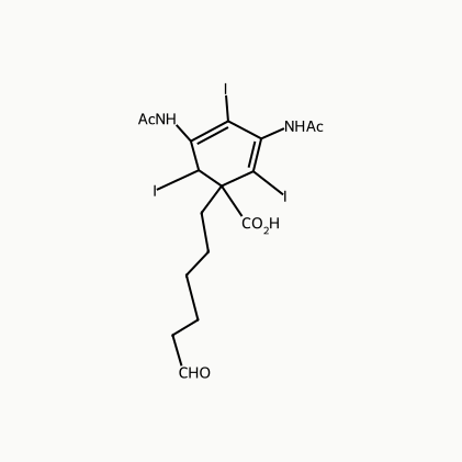 CC(=O)NC1=C(I)C(CCCCCC=O)(C(=O)O)C(I)C(NC(C)=O)=C1I